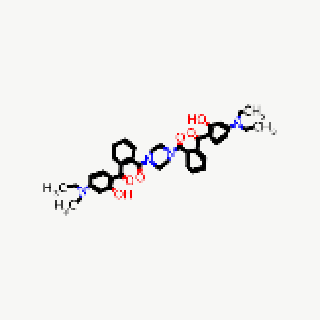 CCN(CC)c1ccc(C(=O)C2=C(C(=O)N3CCN(C(=O)c4ccccc4C(=O)c4ccc(N(CC)CC)cc4O)CC3)C=CCC2)c(O)c1